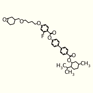 CC1CCC(C(C)C)C(OC(=O)c2ccc(-c3ccc(OC(=O)c4ccc(OCCCCOCC5CCC6OC6C5)cc4F)cc3)cc2)C1